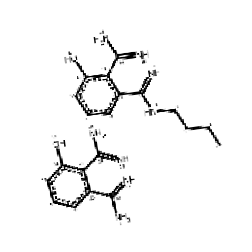 CCCCNC(=N)c1cccc(O)c1C(=N)N.N=C(N)c1cccc(O)c1C(=N)N